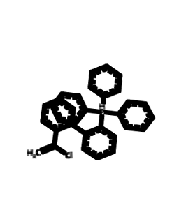 C=C(Cl)c1ccccc1-c1ccccc1[PH](c1ccccc1)(c1ccccc1)c1ccccc1